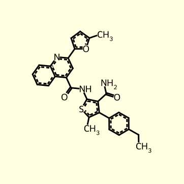 CCc1ccc(-c2c(C)sc(NC(=O)c3cc(-c4ccc(C)o4)nc4ccccc34)c2C(N)=O)cc1